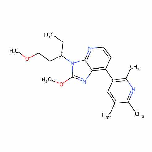 CCC(CCOC)n1c(OC)nc2c(-c3cc(C)c(C)nc3C)ccnc21